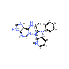 C[C@H](Nc1ncnc2[nH]cnc12)c1nc2ncccc2n1-c1ccccc1